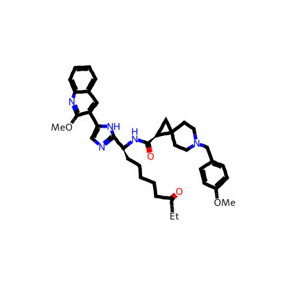 CCC(=O)CCCCC[C@H](NC(=O)[C@H]1CC12CCN(Cc1ccc(OC)cc1)CC2)c1ncc(-c2cc3ccccc3nc2OC)[nH]1